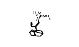 C=C/C(=C\N=C(N)N)C12CC3CC(CC(C3)C1)C2